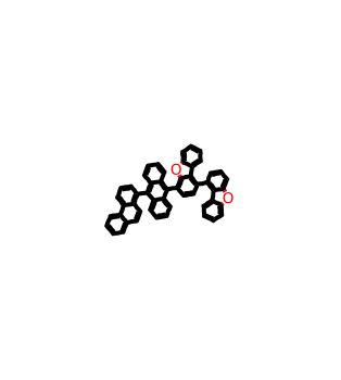 c1ccc2c(c1)ccc1c(-c3c4ccccc4c(-c4ccc(-c5cccc6oc7ccccc7c56)c5c4oc4ccccc45)c4ccccc34)cccc12